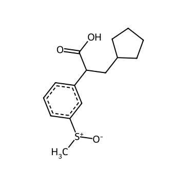 C[S+]([O-])c1cccc(C(CC2CCCC2)C(=O)O)c1